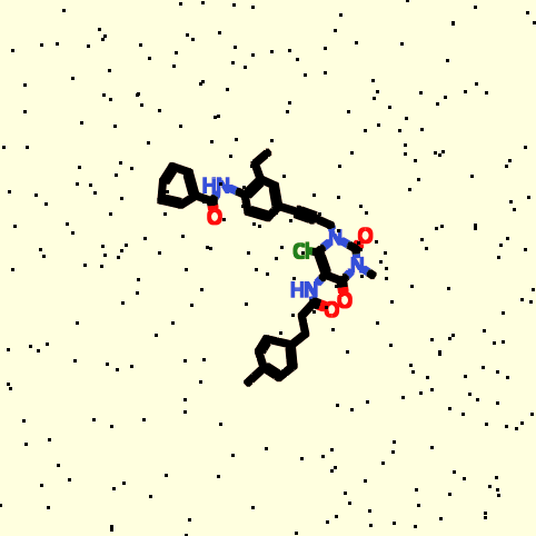 CCc1cc(C#CCn2c(Cl)c(NC(=O)CCc3ccc(C)cc3)c(=O)n(C)c2=O)ccc1NC(=O)c1ccccc1